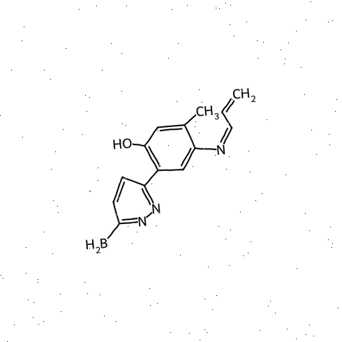 Bc1ccc(-c2cc(/N=C\C=C)c(C)cc2O)nn1